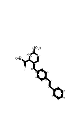 O=CC(=O)C1NC(S(=O)(=O)O)N=CC1=Cc1ccc(C=Cc2ccccc2)cc1